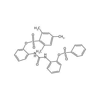 Cc1cc(C)c(S(=O)(=O)Oc2ccccc2NC(=O)Nc2ccccc2OS(=O)(=O)c2ccccc2)c(C)c1